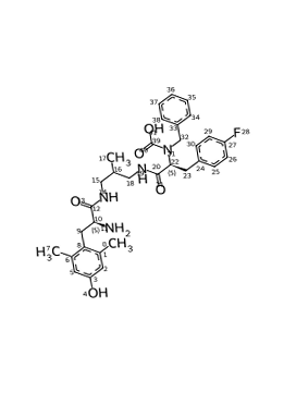 Cc1cc(O)cc(C)c1C[C@H](N)C(=O)NCC(C)CNC(=O)[C@H](Cc1ccc(F)cc1)N(Cc1ccccc1)C(=O)O